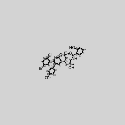 CC(O)(CNC(=O)c1ccccc1O)CC1CC(C)(C)Oc2nc(-c3cc(Br)ccc3Cl)c(-c3ccc(Cl)cc3)cc21